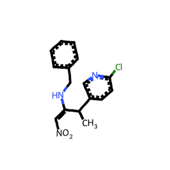 CC(/C(=C\[N+](=O)[O-])NCc1ccccc1)c1ccc(Cl)nc1